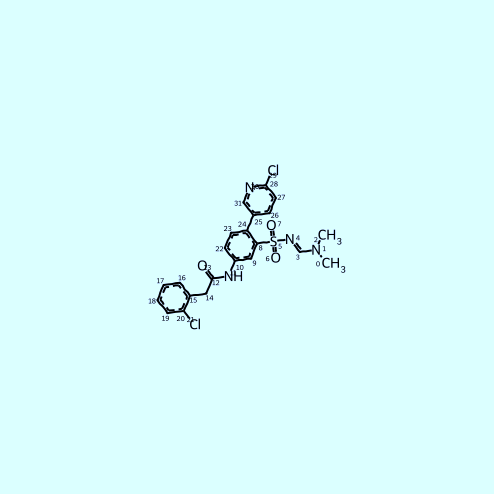 CN(C)C=NS(=O)(=O)c1cc(NC(=O)Cc2ccccc2Cl)ccc1-c1ccc(Cl)nc1